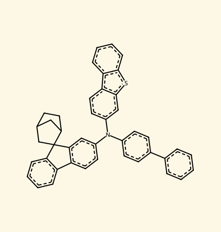 c1ccc(-c2ccc(N(c3ccc4c(c3)C3(CC5CCC3C5)c3ccccc3-4)c3ccc4c(c3)sc3ccccc34)cc2)cc1